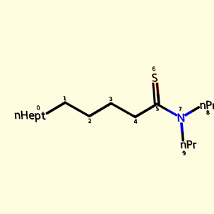 CCCCCCCCCCCC(=S)N(CCC)CCC